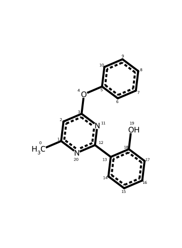 Cc1cc(Oc2ccccc2)nc(-c2ccccc2O)n1